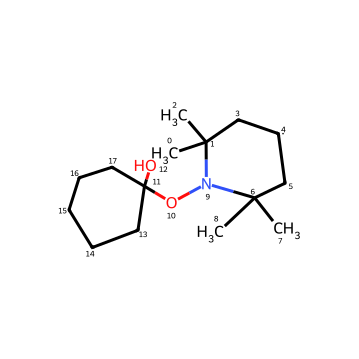 CC1(C)C[CH]CC(C)(C)N1OC1(O)CCCCC1